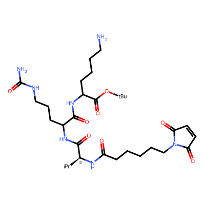 CC(C)[C@H](NC(=O)CCCCCN1C(=O)C=CC1=O)C(=O)NC(CCCNC(N)=O)C(=O)NC(CCCCN)C(=O)OC(C)(C)C